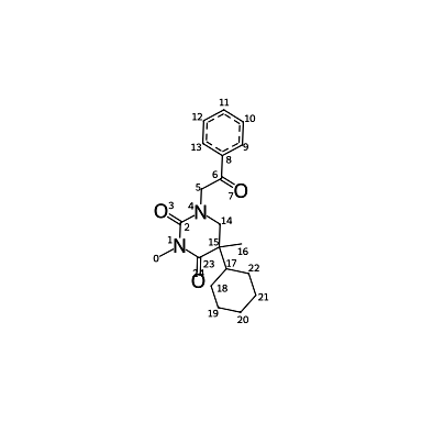 CN1C(=O)N(CC(=O)c2ccccc2)CC(C)(C2CCCCC2)C1=O